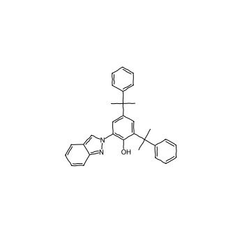 CC(C)(c1ccccc1)c1cc(-n2cc3ccccc3n2)c(O)c(C(C)(C)c2ccccc2)c1